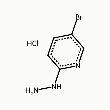 Cl.NNc1ccc(Br)cn1